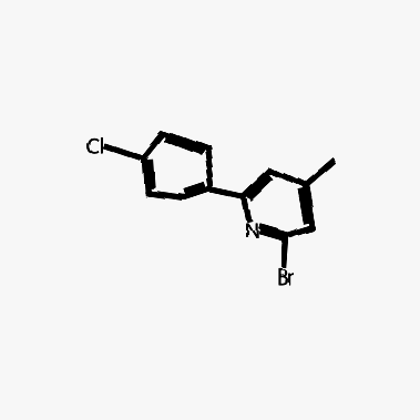 Cc1cc(Br)nc(-c2ccc(Cl)cc2)c1